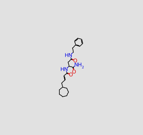 NC(=O)C(CC(=O)NCCc1ccccc1)NC(=O)C=CCC1CCCCCC1